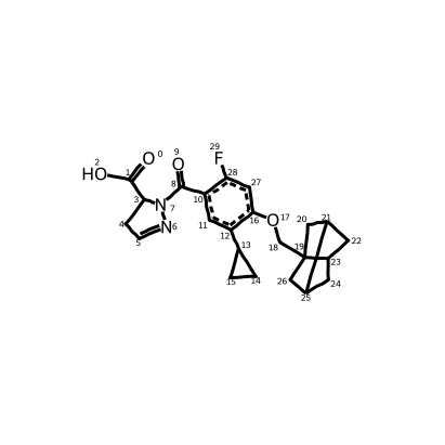 O=C(O)C1CC=NN1C(=O)c1cc(C2CC2)c(OCC23CC4CC2CC4C3)cc1F